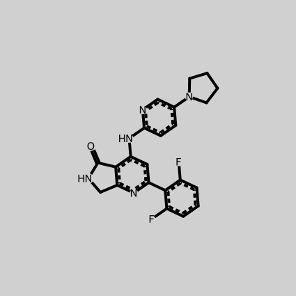 O=C1NCc2nc(-c3c(F)cccc3F)cc(Nc3ccc(N4CCCC4)cn3)c21